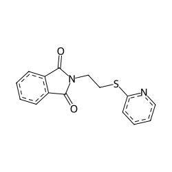 O=C1c2ccccc2C(=O)N1CCSc1ccccn1